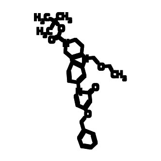 CCOCn1c2c(c3ccc(-n4ccc(OCc5ccccc5)cc4=O)cc31)CN(C(=O)OC(C)(C)C)CC2